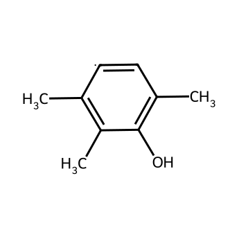 Cc1[c]cc(C)c(O)c1C